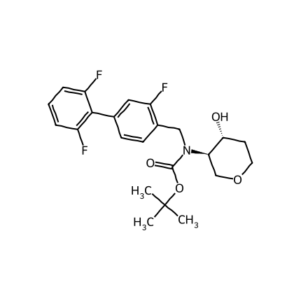 CC(C)(C)OC(=O)N(Cc1ccc(-c2c(F)cccc2F)cc1F)[C@@H]1COCC[C@H]1O